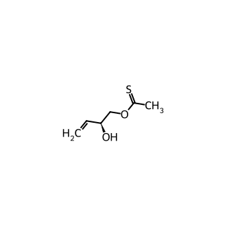 C=C[C@H](O)COC(C)=S